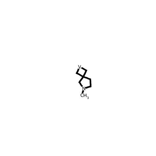 CN1CCC2([CH2][V][CH2]2)C1